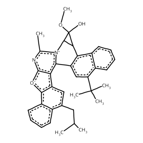 COC1(O)C2c3c(cc(C(C)(C)C)c4ccccc34)-c3c4c(nc(C)[n+]3C21)oc1c2ccccc2c(CC(C)C)cc14